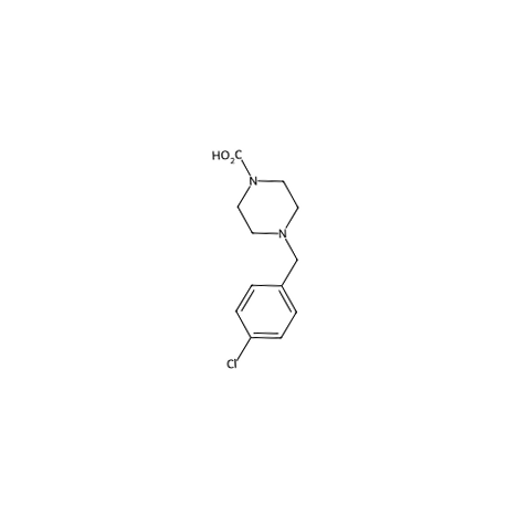 O=C(O)N1CCN(Cc2ccc(Cl)cc2)CC1